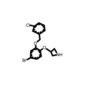 Clc1cccc(COc2cc(Br)ccc2OC2CNC2)c1